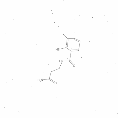 Cc1cccc(C(=O)NCCC(N)=O)c1S